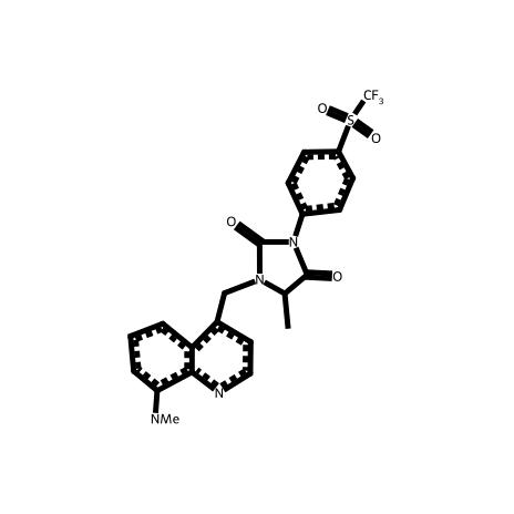 CNc1cccc2c(CN3C(=O)N(c4ccc(S(=O)(=O)C(F)(F)F)cc4)C(=O)C3C)ccnc12